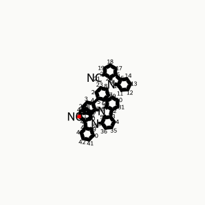 N#Cc1ccc(-c2ccc(-n3c4ccccc4c4cccc(C#N)c43)cc2)c(-n2c3ccccc3c3cccc(-n4c5ccccc5c5ccccc54)c32)c1